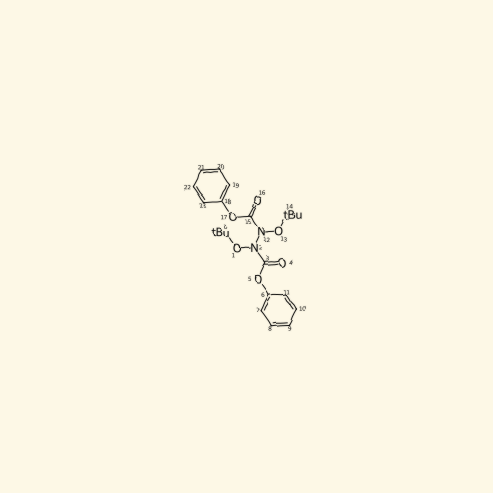 CC(C)(C)ON(C(=O)Oc1ccccc1)N(OC(C)(C)C)C(=O)Oc1ccccc1